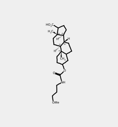 COCCCNC(=O)OC1CC[C@@]2(C)C(CC[C@@H]3[C@@H]2CC[C@]2(C)C(C(=O)O)CC[C@@H]32)C1